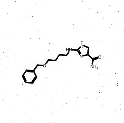 NC(=O)C1CNC(NCC[CH]COCc2ccccc2)=N1